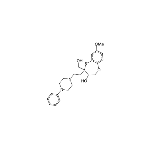 COc1ccc2c(c1)SC(CO)(CCN1CCN(c3ccccc3)CC1)C(O)CO2